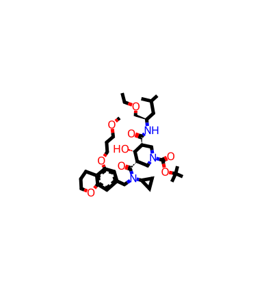 CCOC[C@@H](CC(C)C)NC(=O)[C@@H]1CN(C(=O)OC(C)(C)C)C[C@H](C(=O)N(Cc2cc(OCCCOC)c3c(c2)OCCC3)C2CC2)[C@@H]1O